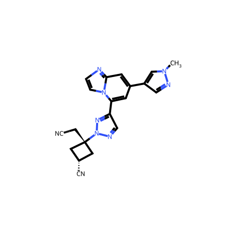 Cn1cc(-c2cc(-c3cnn([C@]4(CC#N)C[C@H](C#N)C4)n3)n3ccnc3c2)cn1